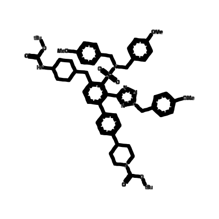 COc1ccc(CN(Cc2ccc(OC)cc2)S(=O)(=O)c2c(CC3CCC(NC(=O)OC(C)(C)C)CC3)ccc(-c3ccc(C4CCN(C(=O)OC(C)(C)C)CC4)cc3)c2-c2nnn(Cc3ccc(OC)cc3)n2)cc1